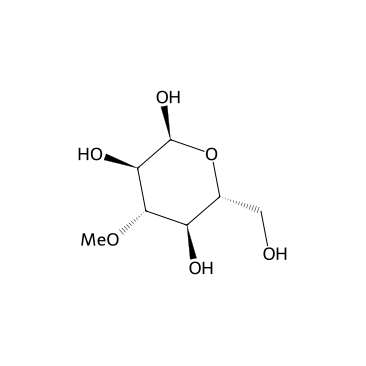 CO[C@@H]1[C@@H](O)[C@@H](O)O[C@H](CO)[C@H]1O